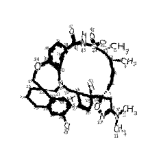 C[C@@H]1[C@@H](C)CCC[C@@]2(CC(N(C)C)=NO2)[C@@H]2CC[C@H]2CN2C[C@@]3(CCCc4cc(Cl)ccc43)COc3ccc(cc32)C(=O)NS1(=O)=O